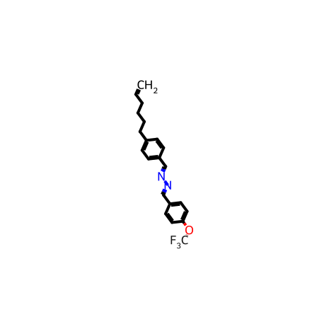 C=CCCCCc1ccc(C=NN=Cc2ccc(OC(F)(F)F)cc2)cc1